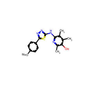 COc1ccc(-c2nnc(Nc3nc(C)c(O)c(C)c3C)s2)cc1